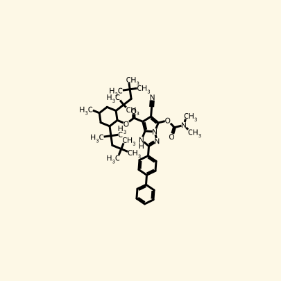 CC1CC(C(C)(C)CC(C)(C)C)C(OC(=O)c2c(C#N)c(OC(=O)N(C)C)n3nc(-c4ccc(-c5ccccc5)cc4)[nH]c23)C(C(C)(C)CC(C)(C)C)C1